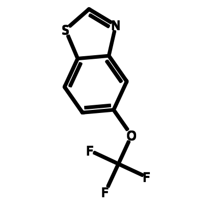 FC(F)(F)Oc1ccc2scnc2c1